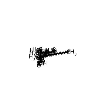 CCCCCCCCCCCCCCCCN(OC[C@H]1O[C@@H](n2ccc(=O)[nH]c2=O)C(OC)C1OP(OCCC#N)N(C(C)C)C(C)C)C(=O)CCCC[C@@H]1CCSS1